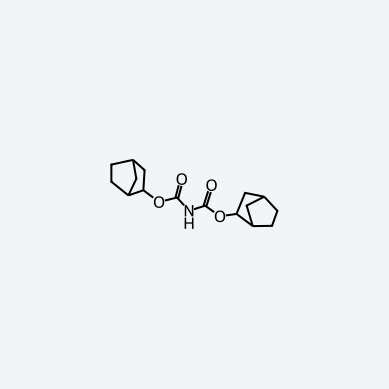 O=C(NC(=O)OC1CC2CCC1C2)OC1CC2CCC1C2